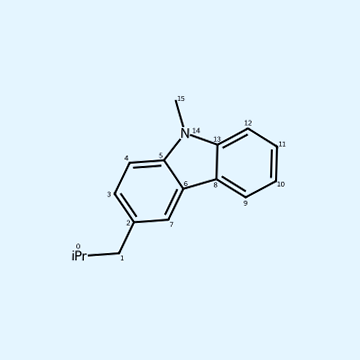 CC(C)Cc1ccc2c(c1)c1ccccc1n2C